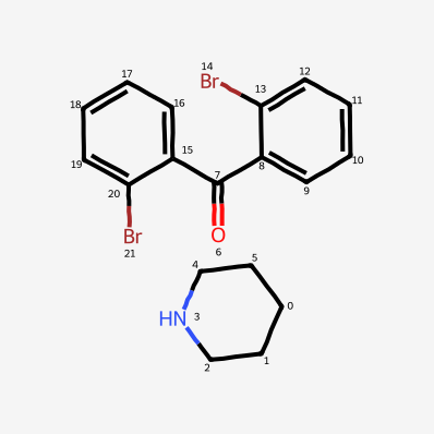 C1CCNCC1.O=C(c1ccccc1Br)c1ccccc1Br